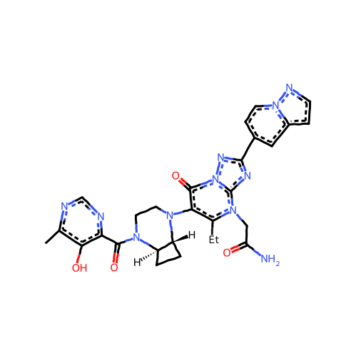 CCc1c(N2CCN(C(=O)c3ncnc(C)c3O)[C@@H]3CC[C@H]32)c(=O)n2nc(-c3ccn4nccc4c3)nc2n1CC(N)=O